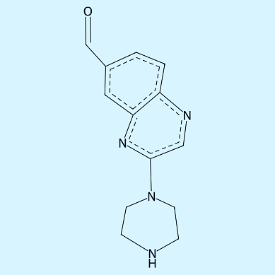 O=Cc1ccc2ncc(N3CCNCC3)nc2c1